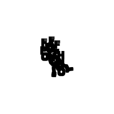 C#CCN1C(=O)C(CC(C)C)NC12CCN(C(=O)c1c(F)c(F)c(F)c(F)c1F)CC2